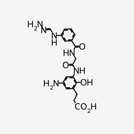 NN=CNc1cccc(C(=O)NCC(=O)Nc2cc(N)cc(CCC(=O)O)c2O)c1